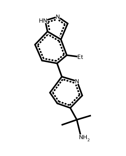 CCc1c(-c2ccc(C(C)(C)N)cn2)ccc2[nH]ncc12